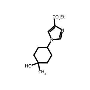 CCOC(=O)c1cn(C2CCC(C)(O)CC2)cn1